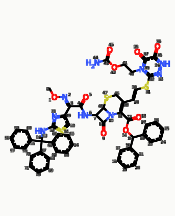 CO/N=C(/C(=O)NC1C(=O)N2C(C(=O)OC(c3ccccc3)c3ccccc3)=C(/C=C/Sc3n[nH]c(=O)c(=O)n3CCOC(N)=O)CSC12)c1csc(NC(c2ccccc2)(c2ccccc2)c2ccccc2)n1